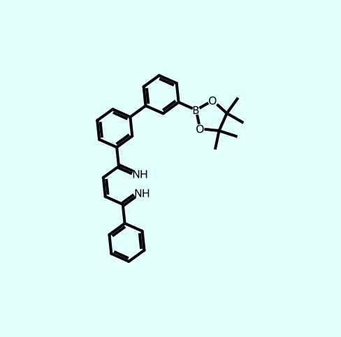 CC1(C)OB(c2cccc(-c3cccc(C(=N)/C=C\C(=N)c4ccccc4)c3)c2)OC1(C)C